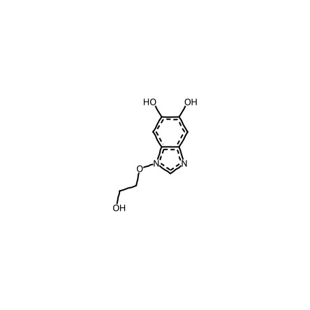 OCCOn1cnc2cc(O)c(O)cc21